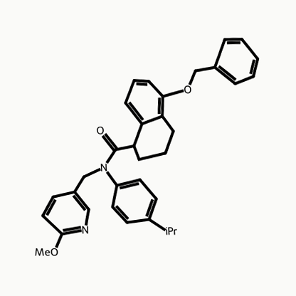 COc1ccc(CN(C(=O)C2CCCc3c(OCc4ccccc4)cccc32)c2ccc(C(C)C)cc2)cn1